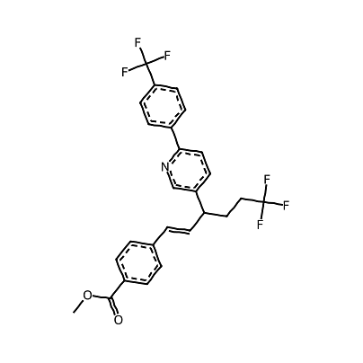 COC(=O)c1ccc(C=CC(CCC(F)(F)F)c2ccc(-c3ccc(C(F)(F)F)cc3)nc2)cc1